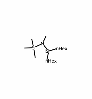 CCCCCC[SiH](CCCCCC)N(C)[Si](C)(C)C